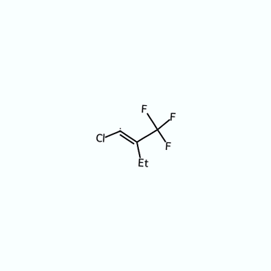 CC/C(=[C]\Cl)C(F)(F)F